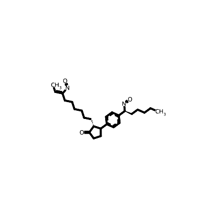 C/C=C(/CCCCCC[C@H]1C(=O)CCC1c1ccc([C@H](CCCCC)N=O)cc1)N=O